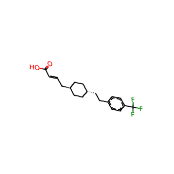 O=C(O)/C=C/C[C@H]1CC[C@H](CCc2ccc(C(F)(F)F)cc2)CC1